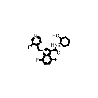 O=C(N[C@H]1CCCCC1O)c1cn(Cc2ccncc2F)c2c(F)ccc(F)c12